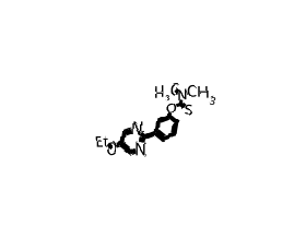 CCOc1cnc(-c2cccc(OC(=S)N(C)C)c2)nc1